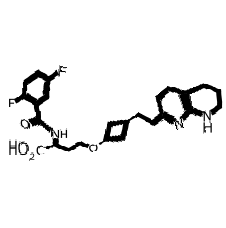 O=C(N[C@@H](CCO[C@H]1C[C@H](CCc2ccc3c(n2)NCCC3)C1)C(=O)O)c1cc(F)ccc1F